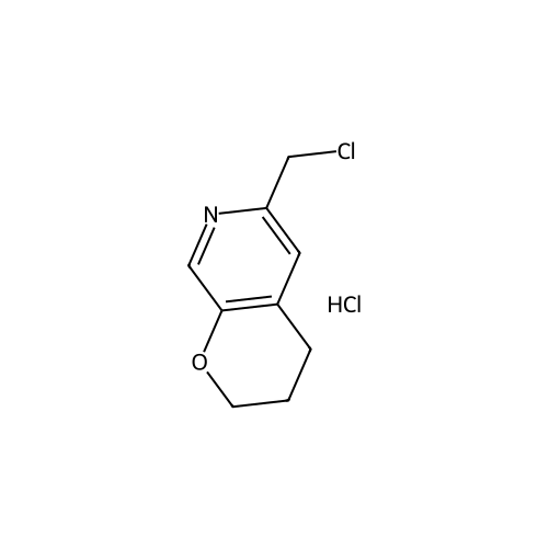 Cl.ClCc1cc2c(cn1)OCCC2